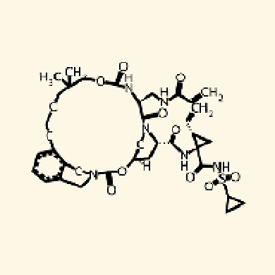 C=CC(=O)NC[C@@H]1NC(=O)OCC(C)(C)CCCCc2cccc3c2CN(C3)C(=O)O[C@@H]2C[C@@H](C(=O)N[C@]3(C(=O)NS(=O)(=O)C4CC4)C[C@H]3C=C)N(C2)C1=O